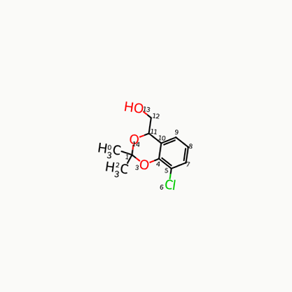 CC1(C)Oc2c(Cl)cccc2C(CO)O1